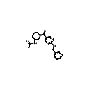 CC(=O)NC1CCCN(C(=O)c2cnc(NCc3cccnc3)nc2)C1